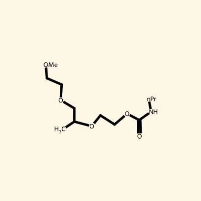 CCCNC(=O)OCCOC(C)COCCOC